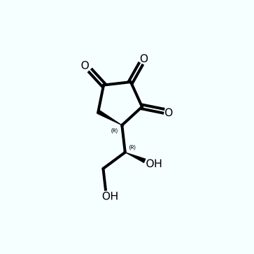 O=C1C[C@H]([C@@H](O)CO)C(=O)C1=O